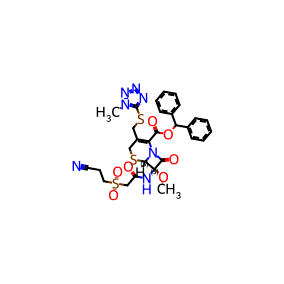 CO[C@@]1(NC(=O)CS(=O)(=O)CCC#N)C(=O)N2C(C(=O)OC(c3ccccc3)c3ccccc3)=C(CSc3nnnn3C)CS[C@H]21